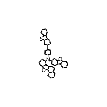 c1ccc2c(c1)ccc1c2oc2cccc(N(c3ccc(-c4ccc5c(c4)sc4ccccc45)cc3)c3ccc4c(c3)oc3ccccc34)c21